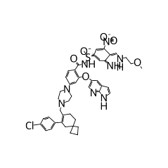 COCCN/C=C1\C(=N)C=C([S+]([O-])NC(=O)c2ccc(N3CCN(CC4=C(c5ccc(Cl)cc5)CC5(CCC5)CC4)CC3)cc2Oc2cnc3[nH]ccc3c2)C=C1[N+](=O)[O-]